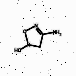 NC1=NON(O)C1